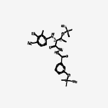 Cc1c(N[C@@H](C(=O)NNC(=O)c2cccc(O[Si](C)(C)C(C)(C)C)c2)[C@H](C)O[Si](C)(C)C(C)(C)C)ccc(C#N)c1Cl